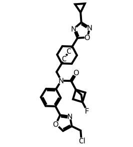 O=C(N(CC12CCC(c3nc(C4CC4)no3)(CC1)CC2)c1cccc(-c2nc(CCl)co2)c1)C12CC(F)(C1)C2